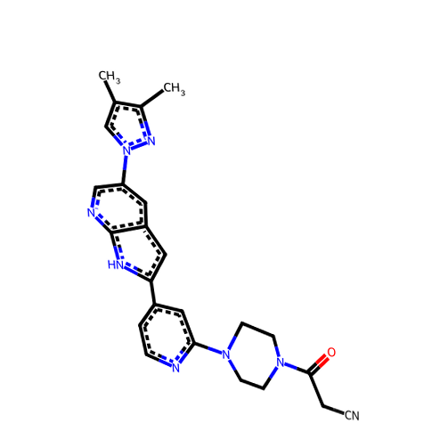 Cc1cn(-c2cnc3[nH]c(-c4ccnc(N5CCN(C(=O)CC#N)CC5)c4)cc3c2)nc1C